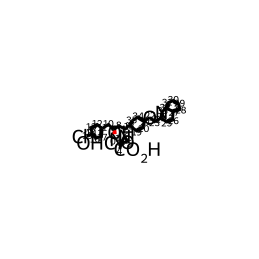 O=CN(O)C1(C(=O)O)ON1C(CCCc1ccc(Cl)cc1)c1ccc(OCc2ccc3ccccc3n2)cc1